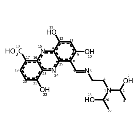 CC(O)N(CCN=Cc1c(O)cc(O)c2nc3c(C(=O)O)ccc(O)c3nc12)C(C)O